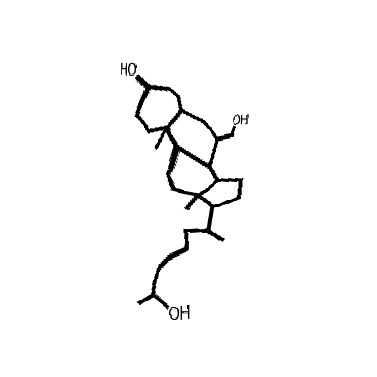 CC(O)CCCC(C)C1CCC2C3C(CO)CC4CC(O)CCC4(C)C3CCC12C